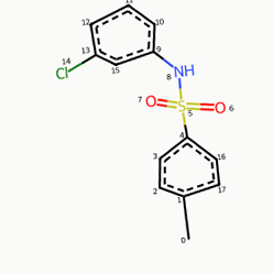 Cc1ccc(S(=O)(=O)Nc2cccc(Cl)c2)cc1